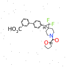 O=C(O)c1cccc(-c2ccc([C@H]3C(F)(F)C34CCN(C(=O)[C@H]3CCCO3)CC4)cc2)c1